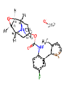 Cc1ccsc1-c1cc(F)ccc1NC(=O)OC1C[C@@H]2[C@H]3O[C@H]3[C@H](C1)[N+]2(C)C.O=C[O-]